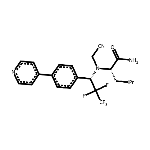 CC(C)C[C@@H](C(N)=O)N(CC#N)[C@@H](c1ccc(-c2ccncc2)cc1)C(F)(F)C(F)(F)F